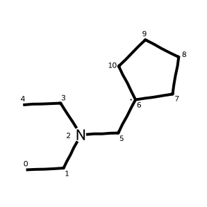 CCN(CC)C[C]1CCCC1